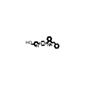 OCc1ccc(N2CCN(c3nnc(CC4C=CC=CC4)c4ccccc34)CC2)nc1